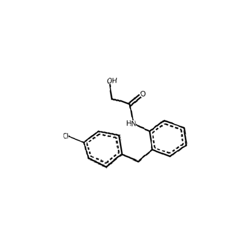 O=C(CO)Nc1ccccc1Cc1ccc(Cl)cc1